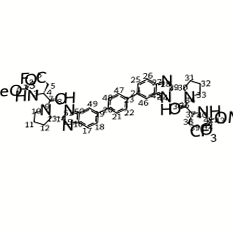 COC(=O)N[C@@H](CC(F)(F)F)C(=O)N1CCC[C@H]1c1nc2ccc(-c3ccc(-c4ccc5nc([C@@H]6CCCN6C(=O)[C@H](CC(F)(F)F)NC(=O)OC)[nH]c5c4)cc3)cc2[nH]1